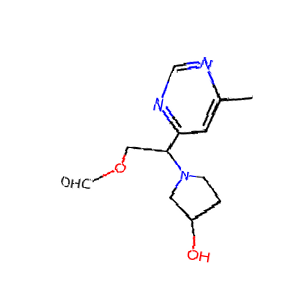 Cc1cc(C(COC=O)N2CCC(O)C2)ncn1